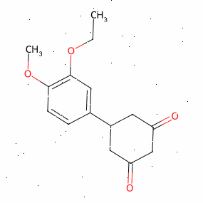 CCOc1cc(C2CC(=O)CC(=O)C2)ccc1OC